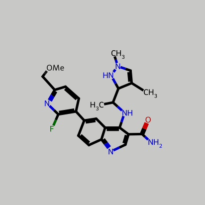 COCc1ccc(-c2ccc3ncc(C(N)=O)c(NC(C)C4NN(C)C=C4C)c3c2)c(F)n1